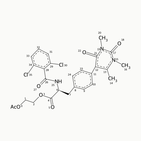 CC(=O)OCCOC(=O)[C@H](Cc1ccc(-c2c(C)n(C)c(=O)n(C)c2=O)cc1)NC(=O)c1c(Cl)cccc1Cl